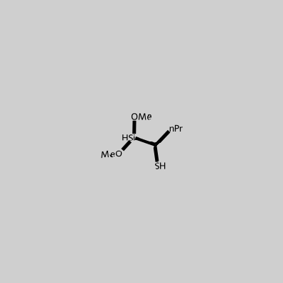 CCCC(S)[SiH](OC)OC